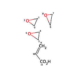 C1CO1.C1CO1.C1CO1.C=CC(=O)O